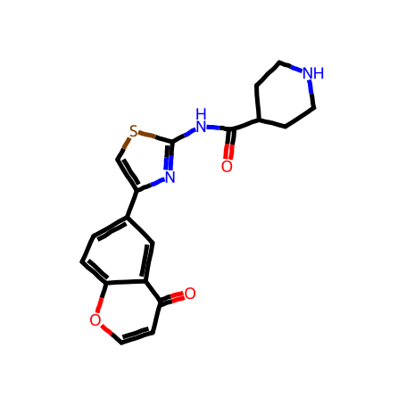 O=C(Nc1nc(-c2ccc3occc(=O)c3c2)cs1)C1CCNCC1